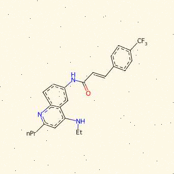 CCCc1cc(NCC)c2cc(NC(=O)C=Cc3ccc(C(F)(F)F)cc3)ccc2n1